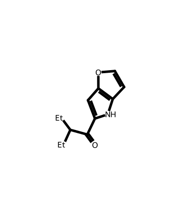 CCC(CC)C(=O)c1cc2occc2[nH]1